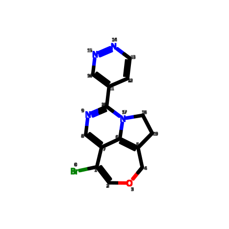 BrC1=COCC2=C3C1=CN=C(c1ccnnc1)N3CC2